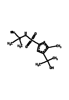 Cc1sc(S(=O)(=O)N[Si](C)(C)C(C)(C)C)cc1C(C)(C)O